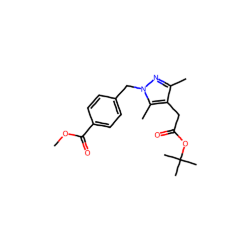 COC(=O)c1ccc(Cn2nc(C)c(CC(=O)OC(C)(C)C)c2C)cc1